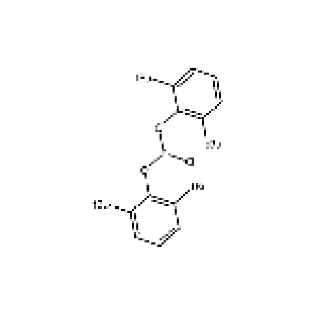 CC(C)(C)c1cccc(C(C)(C)C)c1OP(Cl)Oc1c(C(C)(C)C)cccc1C(C)(C)C